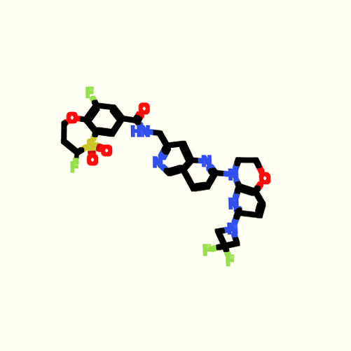 O=C(NCc1cc2nc(N3CCOc4ccc(N5CC(F)(F)C5)nc43)ccc2cn1)c1cc(F)c2c(c1)S(=O)(=O)[C@@H](F)CCO2